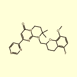 COc1ccc(F)c2c1OC(CN1c3nc(-c4ccncn4)cc(=O)n3CCC1(C)C)CC2